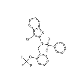 O=S(=O)(c1ccccc1)N(Cc1ccccc1OC(F)(F)F)c1sc2ccccc2c1Br